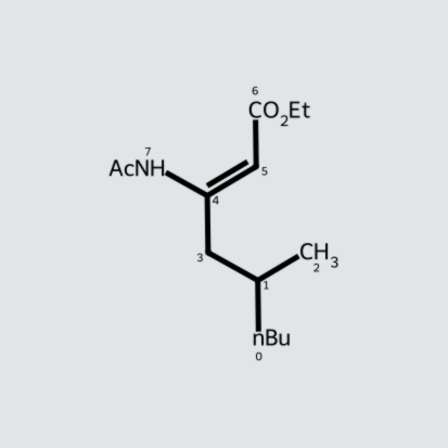 CCCCC(C)CC(=CC(=O)OCC)NC(C)=O